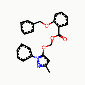 Cc1cc(OCOC(=O)c2ccccc2OCc2ccccc2)n(-c2ccccc2)n1